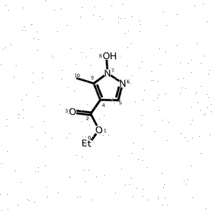 CCOC(=O)c1cnn(O)c1C